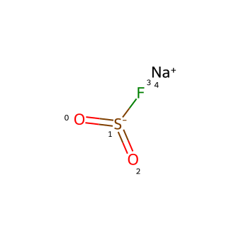 O=[S-](=O)F.[Na+]